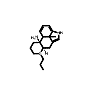 CCCN1CCC[C@]2(N)C3C=CC=C4NC=C(C[C@@H]12)C43C